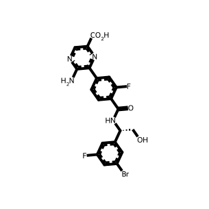 Nc1ncc(C(=O)O)nc1-c1ccc(C(=O)N[C@H](CO)c2cc(F)cc(Br)c2)c(F)c1